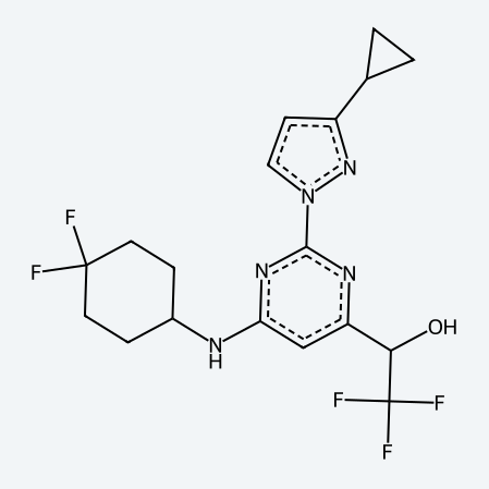 OC(c1cc(NC2CCC(F)(F)CC2)nc(-n2ccc(C3CC3)n2)n1)C(F)(F)F